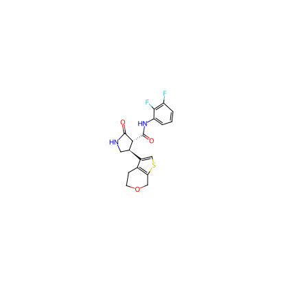 O=C1NC[C@H](c2csc3c2CCOC3)[C@H]1C(=O)Nc1cccc(F)c1F